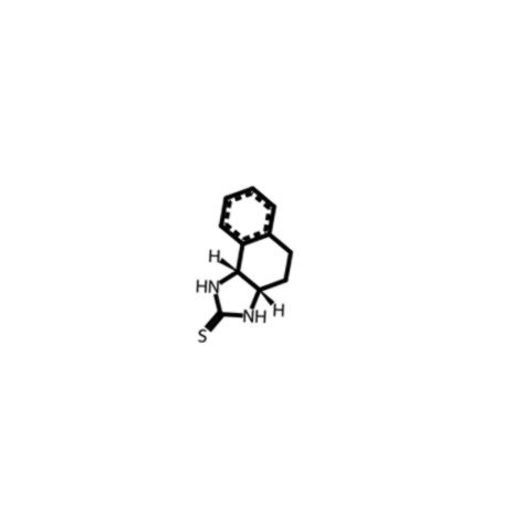 S=C1N[C@H]2CCc3ccccc3[C@H]2N1